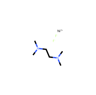 CN(C)CCN(C)C.[F-].[F-].[Ni+2]